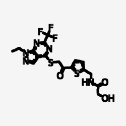 CCn1ncc2c(SCC(=O)c3ccc(CNC(=O)CO)s3)nc(C(F)(F)F)nc21